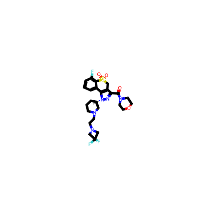 O=C(c1nn([C@H]2CCCN(CCN3CC(F)(F)C3)C2)c2c1CS(=O)(=O)c1c(F)cccc1-2)N1CCOCC1